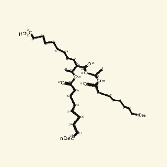 CCCCCCCCCCCCCCCCCC(=O)OC(C)OC(=O)C(CCCCCCCCC(=O)O)C(C)OC(=O)CCCCCCCCCCCCCCCCC